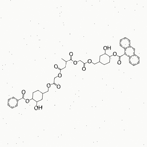 CC(CC(=O)OCC(=O)OCC1CCC(OC(=O)c2ccccc2)C(O)C1)C(=O)OCC(=O)OCC1CCC(OC(=O)c2c3ccccc3cc3ccccc23)C(O)C1